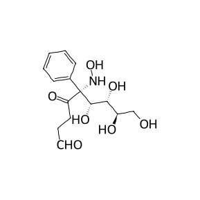 O=CCCC(=O)[C@@](NO)(c1ccccc1)[C@@H](O)[C@H](O)[C@H](O)CO